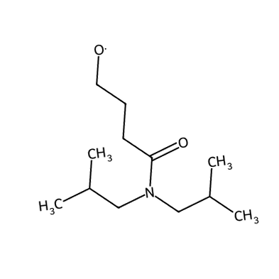 CC(C)CN(CC(C)C)C(=O)CCC[O]